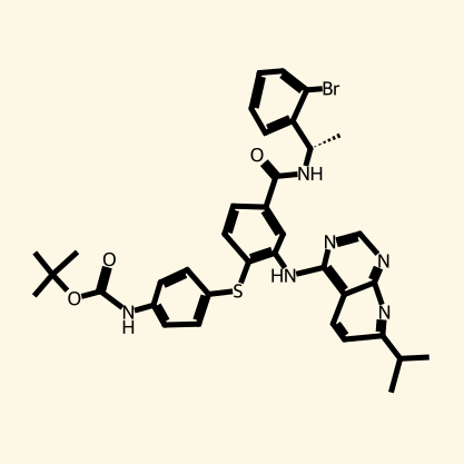 CC(C)c1ccc2c(Nc3cc(C(=O)N[C@@H](C)c4ccccc4Br)ccc3Sc3ccc(NC(=O)OC(C)(C)C)cc3)ncnc2n1